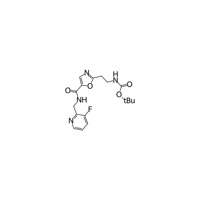 CC(C)(C)OC(=O)NCCc1ncc(C(=O)NCc2ncccc2F)o1